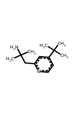 CC(C)(N)Cc1cc(C(C)(C)C)ccn1